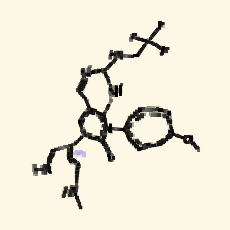 CN/C=C(\C=N)c1cc2c(n(-c3ccc(OC)cc3)c1=O)NC(NCC(F)(F)F)N=C2